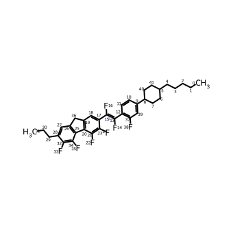 CCCCCC1CCC(c2ccc(/C(F)=C(\F)c3cc4c(c(F)c3F)-c3c(cc(CCC)c(F)c3F)C4)c(F)c2)CC1